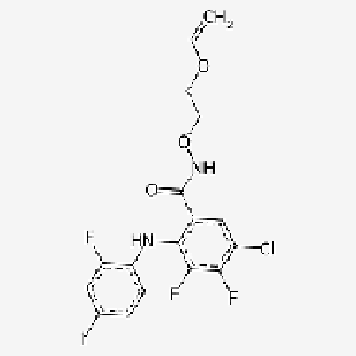 C=COCCONC(=O)c1cc(Cl)c(F)c(F)c1Nc1ccc(I)cc1F